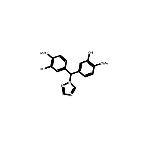 COc1ccc(C(c2ccc(OC)c(O)c2)n2cncn2)cc1O